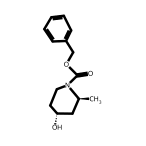 C[C@H]1C[C@H](O)CCN1C(=O)OCc1ccccc1